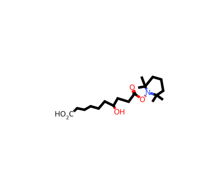 CC1(C)CCCC(C)(C)N1OC(=O)CCC(O)CCCCCC(=O)O